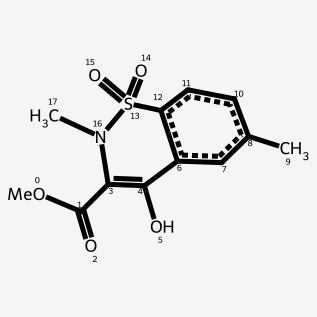 COC(=O)C1=C(O)c2cc(C)ccc2S(=O)(=O)N1C